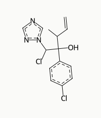 C=CC(C)C(O)(c1ccc(Cl)cc1)C(Cl)n1cncn1